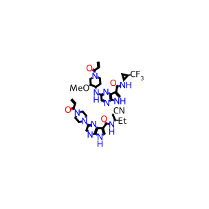 C=CC(=O)N1CCN(c2cnc3[nH]cc(C(=O)N[C@H](CC)CC#N)c3n2)CC1.C=CC(=O)N1CC[C@@H](Nc2cnc3[nH]cc(C(=O)N[C@@H]4C[C@H]4C(F)(F)F)c3n2)[C@@H](OC)C1